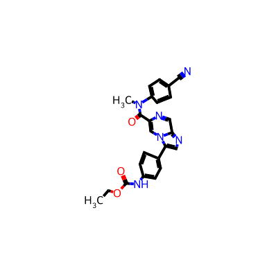 CCOC(=O)Nc1ccc(-c2cnc3cnc(C(=O)N(C)c4ccc(C#N)cc4)cn23)cc1